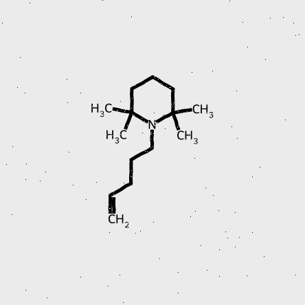 C=CCCCN1C(C)(C)CCCC1(C)C